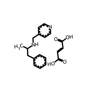 CC(Cc1ccccc1)NCc1ccncc1.O=C(O)/C=C/C(=O)O